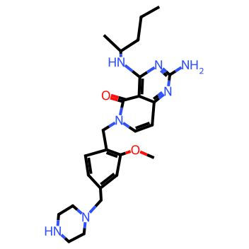 CCCC(C)Nc1nc(N)nc2ccn(Cc3ccc(CN4CCNCC4)cc3OC)c(=O)c12